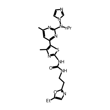 CCCN(c1nc(C)cc(-c2sc(NC(=O)NCCc3ncc(CC)o3)nc2C)n1)n1ccnc1